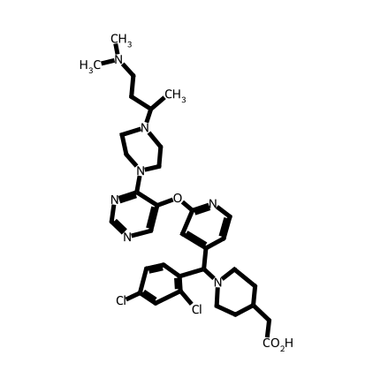 CC(CCN(C)C)N1CCN(c2ncncc2Oc2cc(C(c3ccc(Cl)cc3Cl)N3CCC(CC(=O)O)CC3)ccn2)CC1